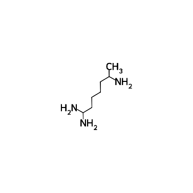 CC(N)CCCCC(N)N